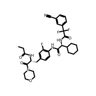 CCC(=O)N[C@H](Cc1ccc(NC(=O)[C@@H](NC(=O)C(F)(F)c2cccc(C#N)c2)C2CCCCC2)c(F)c1)C(=O)N1CCOCC1